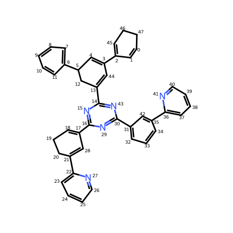 C1=CC(C2=CC(c3ccccc3)CC(c3nc(C4=CCCC(c5ccccn5)=C4)nc(-c4cccc(-c5ccccn5)c4)n3)=C2)=CCC1